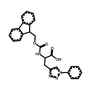 O=C(NC(Cc1cn(-c2ccccc2)nn1)C(=O)O)OCC1c2ccccc2-c2ccccc21